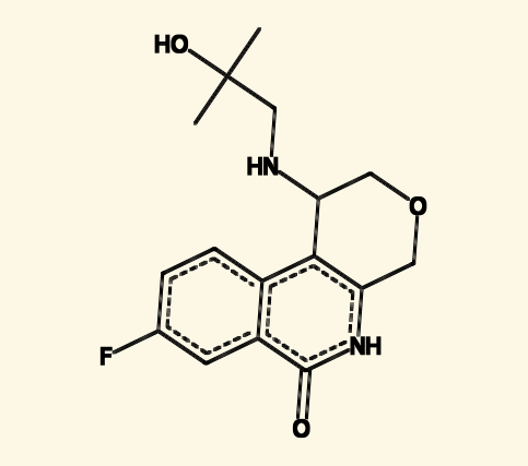 CC(C)(O)CNC1COCc2[nH]c(=O)c3cc(F)ccc3c21